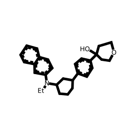 CCN(c1ccc2ccccc2c1)C1CCCC(c2ccc(C3(O)CCOCC3)cc2)C1